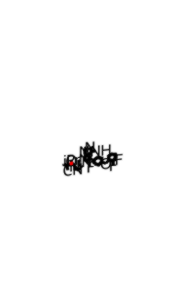 CC(C)/C=C(/C#N)C(=O)N1CCC[C@@H]1Cn1nc(-c2ccc(Oc3cccc(F)c3F)cc2F)c2c(N)ncnc21